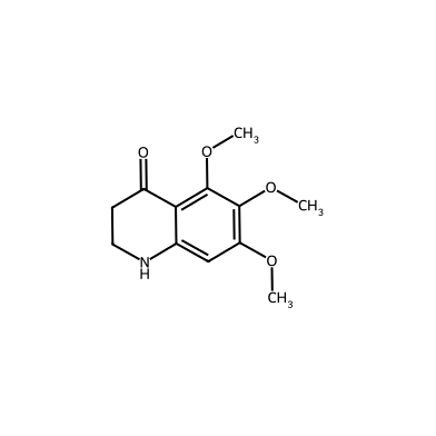 COc1cc2c(c(OC)c1OC)C(=O)CCN2